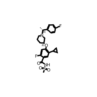 C[C@H](c1ccc(F)cc1)N1CCC[C@@H](Oc2cc(F)c(C(=O)NS(C)(=O)=O)cc2C2CC2)C1